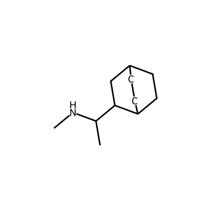 CNC(C)C1CC2CCC1CC2